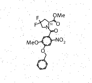 COC(=O)[C@@H]1CC(F)(F)CN1C(=O)c1cc(OC)c(OCc2ccccc2)cc1[N+](=O)[O-]